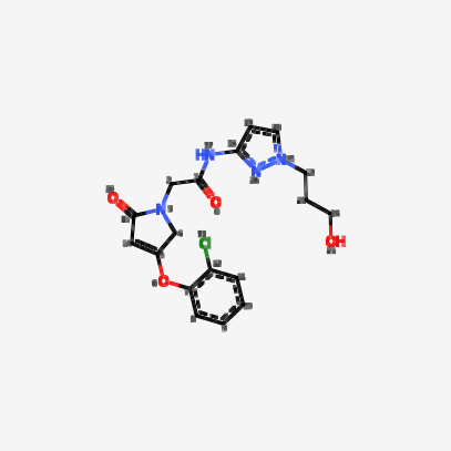 O=C(CN1CC(Oc2ccccc2Cl)=CC1=O)Nc1ccn(CCCO)n1